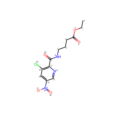 CCOC(=O)CCCNC(=O)c1ncc([N+](=O)[O-])cc1Cl